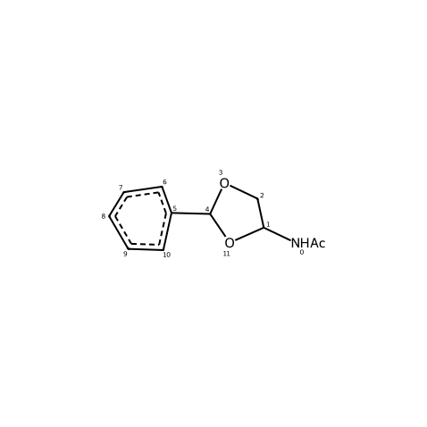 CC(=O)NC1COC(c2ccccc2)O1